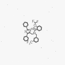 CCCCn1c(-c2ccccc2)nc(-c2ccccc2)c1CN(Cc1cccc(C(F)(F)F)c1)Cc1ccccc1OC(F)F